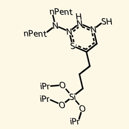 CCCCCN(CCCCC)n1[nH]n(S)cc(CCC[Si](OC(C)C)(OC(C)C)OC(C)C)s1